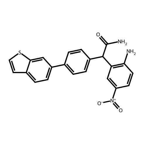 NC(=O)C(c1ccc(-c2ccc3ccsc3c2)cc1)c1cc([N+](=O)[O-])ccc1N